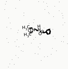 C[C@@H]1CN(CCNC(=O)OCc2ccccc2)C[C@H](C)O1